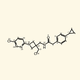 O=C(Cc1ccc(C2CC2)cc1)NCC1(CCl)CN(c2ccc(Cl)nn2)C1